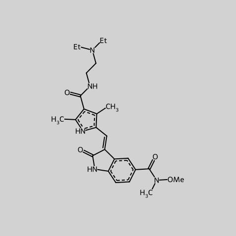 CCN(CC)CCNC(=O)c1c(C)[nH]c(/C=C2\C(=O)Nc3ccc(C(=O)N(C)OC)cc32)c1C